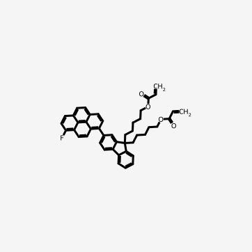 C=CC(=O)OCCCCCC1(CCCCCOC(=O)C=C)c2ccccc2-c2ccc(-c3ccc4ccc5ccc(F)c6ccc3c4c56)cc21